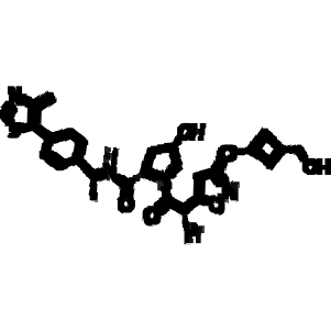 Cc1ncsc1-c1ccc([C@H](C)NC(=O)[C@@H]2C[C@@H](O)CN2C(=O)[C@H](c2cc(O[C@H]3C[C@H](CO)C3)no2)C(C)C)cc1